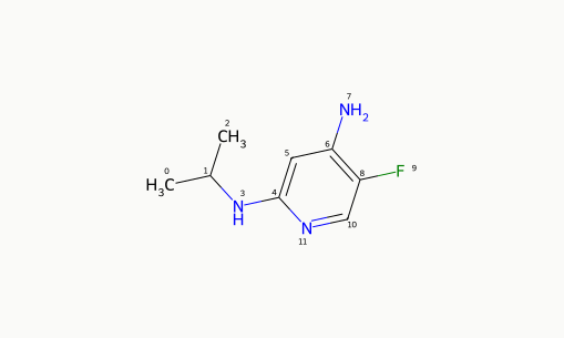 CC(C)Nc1cc(N)c(F)cn1